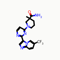 CC1(C(N)=O)CCCN(c2ccnc(-c3cnc4ccc(C(F)(F)F)cn34)n2)C1